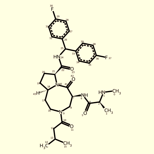 CN[C@@H](C)C(=O)N[C@H]1CN(C(=O)CC(C)C)CC[C@H]2CC[C@@H](C(=O)NC(c3ccc(F)cc3)c3ccc(F)cc3)N2C1=O